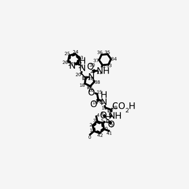 Cc1cc(C)c(S(=O)(=O)N[C@@H](CNC(=O)CO[C@@H]2C[C@@H](CNc3ccccn3)N(C(=O)NC3CCCCC3)C2)C(=O)O)c(C)c1